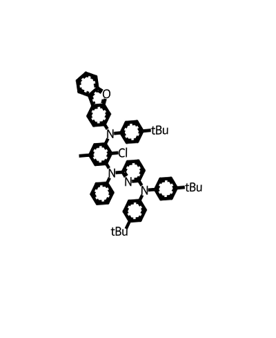 Cc1cc(N(c2ccc(C(C)(C)C)cc2)c2ccc3c(c2)oc2ccccc23)c(Cl)c(N(c2ccccc2)c2cccc(N(c3ccc(C(C)(C)C)cc3)c3ccc(C(C)(C)C)cc3)n2)c1